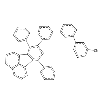 N#Cc1cccc(-c2cccc(-c3cccc(-c4cc(-c5ccccc5)c5c(c4-c4ccccc4)-c4cccc6cccc-5c46)c3)c2)c1